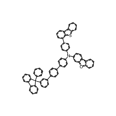 c1ccc(C2(c3cccc(-c4ccc(-c5ccc(N(c6ccc(-c7cccc8c7sc7ccccc78)cc6)c6ccc7c(c6)oc6ccccc67)cc5)cc4)c3)c3ccccc3-c3ccccc32)cc1